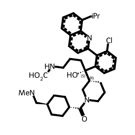 CNC[C@H]1CC[C@H](C(=O)N2CCC[C@@H]([C@@](O)(CCCNC(=O)O)c3cccc(Cl)c3-c3ccc4cccc(C(C)C)c4n3)C2)CC1